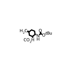 C=C1CC[C@H](NC(=O)OC(C)(C)C)[C@@H](C(=O)O)C1